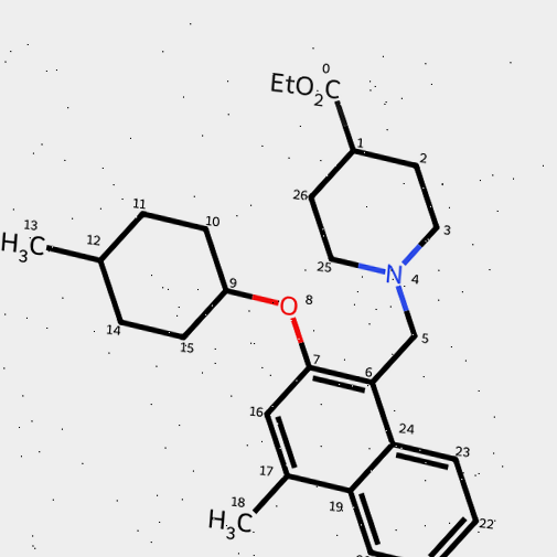 CCOC(=O)C1CCN(Cc2c(OC3CCC(C)CC3)cc(C)c3ccccc23)CC1